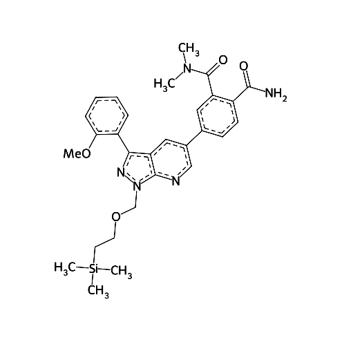 COc1ccccc1-c1nn(COCC[Si](C)(C)C)c2ncc(-c3ccc(C(N)=O)c(C(=O)N(C)C)c3)cc12